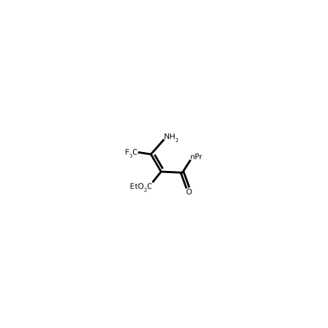 CCCC(=O)C(C(=O)OCC)=C(N)C(F)(F)F